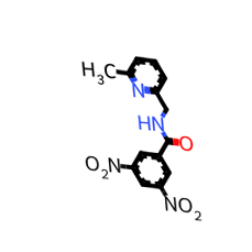 Cc1cccc(CNC(=O)c2cc([N+](=O)[O-])cc([N+](=O)[O-])c2)n1